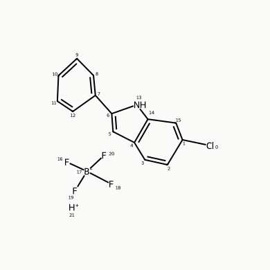 Clc1ccc2cc(-c3ccccc3)[nH]c2c1.F[B-](F)(F)F.[H+]